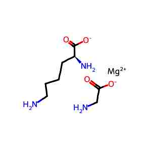 NCC(=O)[O-].NCCCC[C@H](N)C(=O)[O-].[Mg+2]